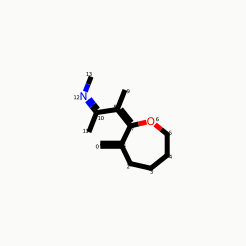 C=C1CCCCO/C1=C(C)/C(C)=N\C